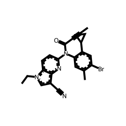 CC#CC(=O)N(c1ccc2c(n1)c(C#N)cn2CC)c1cc(C)c(Br)cc1C1CC1